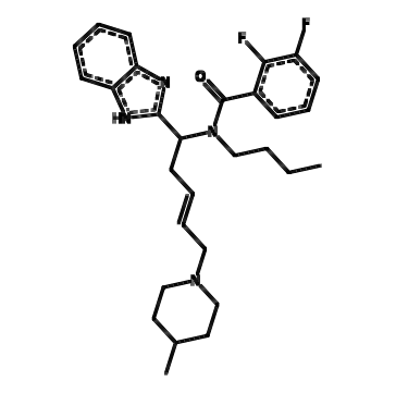 CCCCN(C(=O)c1cccc(F)c1F)C(CC=CCN1CCC(C)CC1)c1nc2ccccc2[nH]1